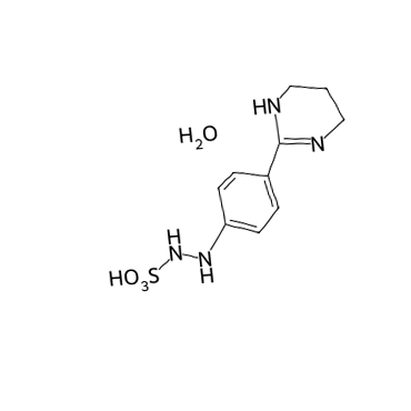 O.O=S(=O)(O)NNc1ccc(C2=NCCCN2)cc1